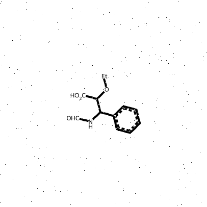 CCOC(C(=O)O)C(NC=O)c1ccccc1